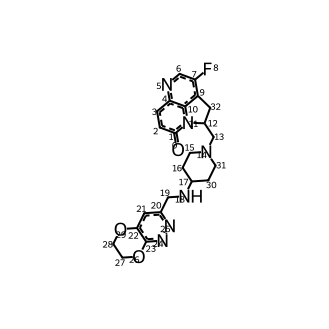 O=c1ccc2ncc(F)c3c2n1C(CN1CCC(NCc2cc4c(nn2)OCCO4)CC1)C3